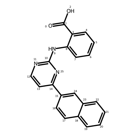 O=C(O)c1ccccc1Nc1nccc(-c2ccc3ccccc3c2)n1